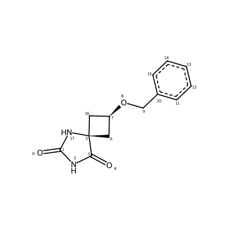 O=C1NC(=O)[C@]2(C[C@H](OCc3ccccc3)C2)N1